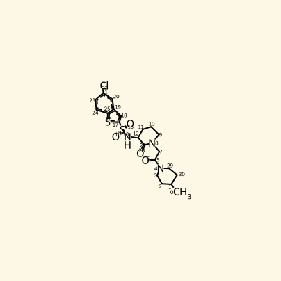 CC1CCN(C(=O)CN2CCC[C@H](NS(=O)(=O)c3cc4cc(Cl)ccc4s3)C2=O)CC1